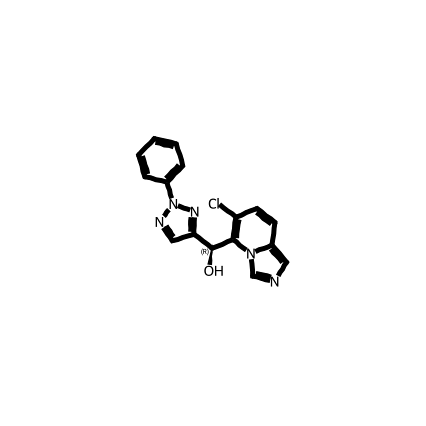 O[C@@H](c1cnn(-c2ccccc2)n1)c1c(Cl)ccc2cncn12